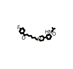 CC(C)C(=O)Nc1cccc(C2CCN(CCCCCCC(=O)c3ccc(F)cc3)CC2)c1